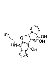 CC(C)CCNn1c(=O)c(C2=NS(O)(O)c3ccccc3N2)c(O)c2sccc21